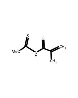 C=C(C)C(=O)NC(=S)OC